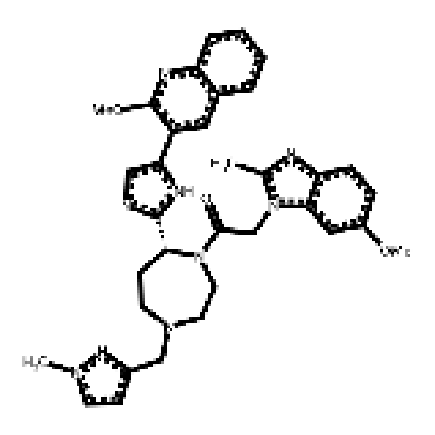 COc1ccc2nc(C)n(CC(=O)N3CCN(Cc4ccn(C)n4)CC[C@@H]3c3ncc(-c4cc5ccccc5nc4OC)[nH]3)c2c1